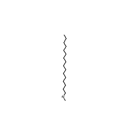 CCCCCCCCCCCCCCCC[N]C